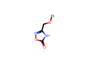 CCOCc1noc(=O)[nH]1